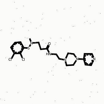 CN(CCC(=O)NCCN1CCN(c2ccncc2)CC1)Sc1cccc(Cl)c1Cl